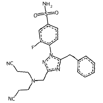 N#CCCN(CCC#N)Cc1nc(Cc2ccccc2)n(-c2ccc(S(N)(=O)=O)cc2F)n1